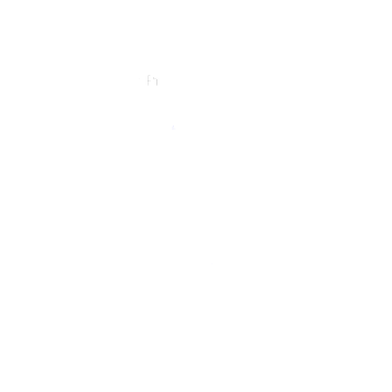 [CH2]/C=C/CC/C=C/CCC